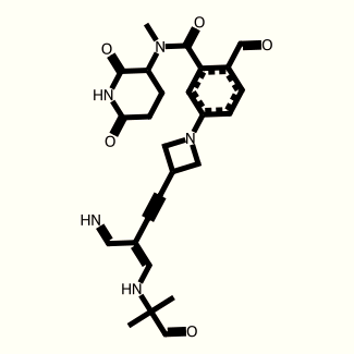 CN(C(=O)c1cc(N2CC(C#C/C(C=N)=C/NC(C)(C)C=O)C2)ccc1C=O)C1CCC(=O)NC1=O